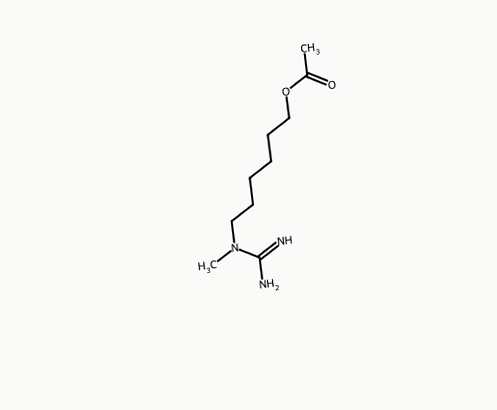 CC(=O)OCCCCCCN(C)C(=N)N